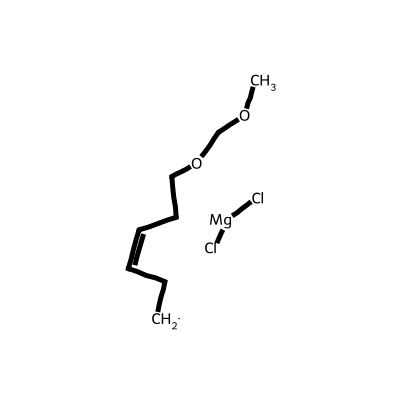 [CH2]C/C=C\CCOCOC.[Cl][Mg][Cl]